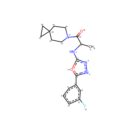 CC(Nc1nnc(-c2cccc(F)c2)o1)C(=O)N1CCC2(CC1)CC2